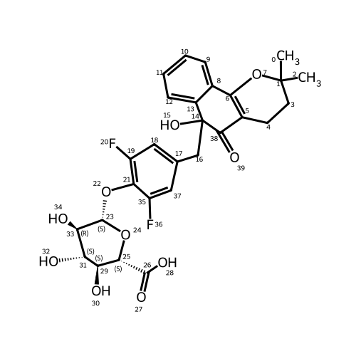 CC1(C)CCC2=C(O1)c1ccccc1C(O)(Cc1cc(F)c(O[C@@H]3O[C@H](C(=O)O)[C@@H](O)[C@H](O)[C@H]3O)c(F)c1)C2=O